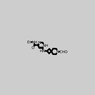 CCNC(=O)C1=NCNC(NC2CC3(CCN(C=O)CC3)C2)=C1